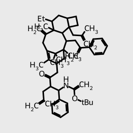 C=C(C)CC(C(=O)CC1CC2(C)C(CC(=C)c3ccccc3)C3C4(CC(=C)C)CCC4CC(CC)C3(C)C(=C)CC(=C1C)C2(C)C)C(NC(=C)OC(C)(C)C)c1ccccc1